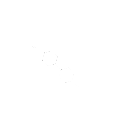 CCCCCCCCC1CCC(C2CCC(OC)CC2)CC1